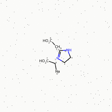 C1=NCCN1.CC(=O)O.O=C(O)[CH2][Na]